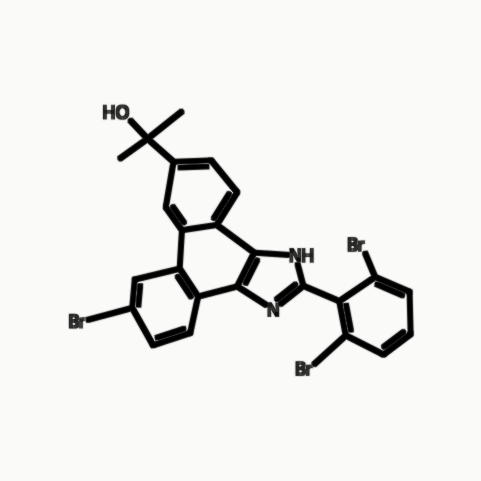 CC(C)(O)c1ccc2c(c1)c1cc(Br)ccc1c1nc(-c3c(Br)cccc3Br)[nH]c21